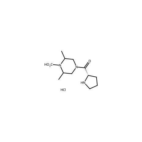 CC1CN(C(=O)[C@@H]2CCCN2)CC(C)N1C(=O)O.Cl